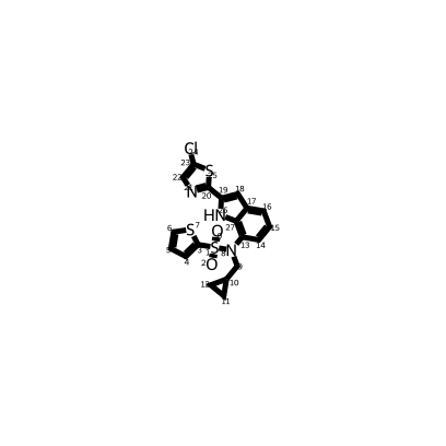 O=S(=O)(c1cccs1)N(CC1CC1)c1cccc2cc(-c3ncc(Cl)s3)[nH]c12